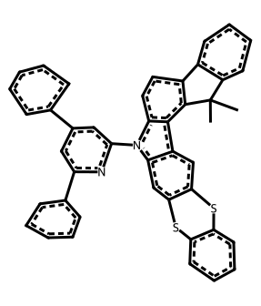 CC1(C)c2ccccc2-c2ccc3c(c21)c1cc2c(cc1n3-c1cc(-c3ccccc3)cc(-c3ccccc3)n1)Sc1ccccc1S2